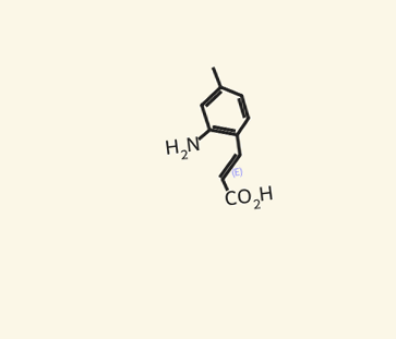 Cc1ccc(/C=C/C(=O)O)c(N)c1